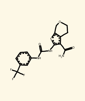 NC(=O)c1c(NC(=O)Nc2cccc(C(F)(F)F)c2)sc2c1CCOC2